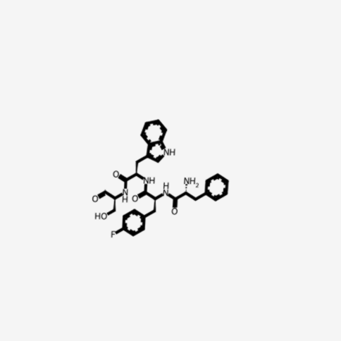 N[C@H](Cc1ccccc1)C(=O)N[C@@H](Cc1ccc(F)cc1)C(=O)N[C@H](Cc1c[nH]c2ccccc12)C(=O)N[C@H]([C]=O)CO